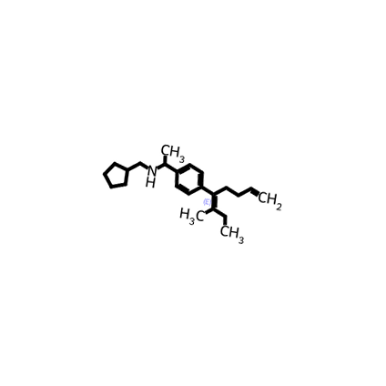 C=CCC/C(=C(/C)CC)c1ccc(C(C)NCC2CCCC2)cc1